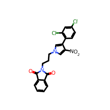 O=C1c2ccccc2C(=O)N1CCCn1cc(-c2ccc(Cl)cc2Cl)c([N+](=O)[O-])c1